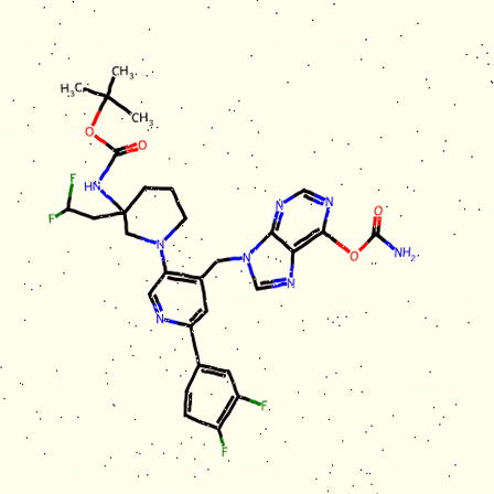 CC(C)(C)OC(=O)NC1(CC(F)F)CCCN(c2cnc(-c3ccc(F)c(F)c3)cc2Cn2cnc3c(OC(N)=O)ncnc32)C1